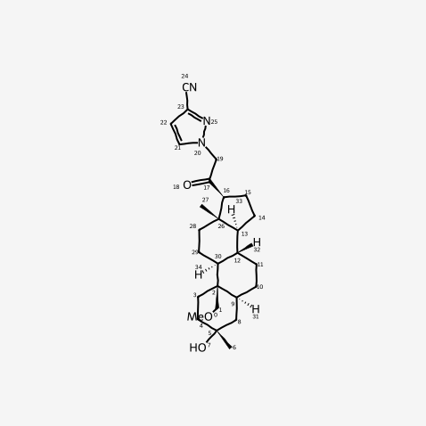 COC[C@]12CC[C@@](C)(O)C[C@@H]1CC[C@H]1[C@@H]3CC[C@H](C(=O)Cn4ccc(C#N)n4)[C@@]3(C)CC[C@@H]12